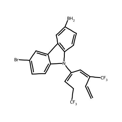 Bc1ccc2c(c1)c1cc(Br)ccc1n2C(=C/CC(F)(F)F)/C=C(\C=C)C(F)(F)F